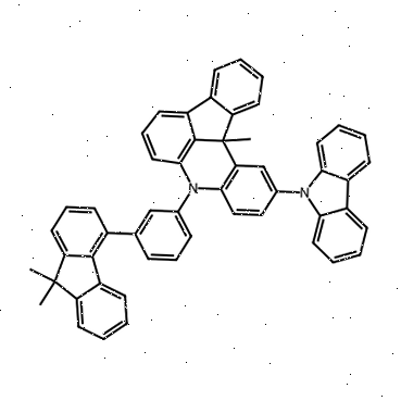 CC1(C)c2ccccc2-c2c(-c3cccc(N4c5ccc(-n6c7ccccc7c7ccccc76)cc5C5(C)c6ccccc6-c6cccc4c65)c3)cccc21